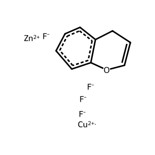 C1=COc2ccccc2C1.[Cu+2].[F-].[F-].[F-].[F-].[Zn+2]